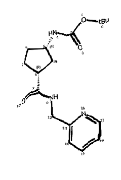 CC(C)(C)OC(=O)N[C@H]1CC[C@@H](C(=O)NCc2ccccn2)C1